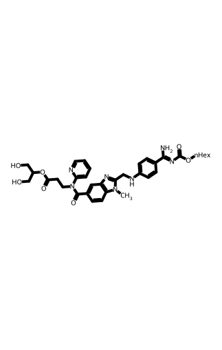 CCCCCCOC(=O)/N=C(\N)c1ccc(NCc2nc3cc(C(=O)N(CCC(=O)OC(CO)CO)c4ccccn4)ccc3n2C)cc1